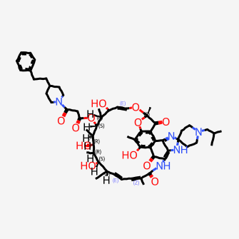 C/C1=C/C=C/[C@H](C)[C@H](O)[C@@H](C)[C@@H](O)[C@@H](C)[C@H](OC(=O)CC(=O)N2CCC(CCc3ccccc3)CC2)[C@H](C)C(O)/C=C/O[C@@]2(C)Oc3c(C)c(O)c4c(c3C2=O)C2=NC3(CCN(CC(C)C)CC3)NC2=C(NC1=O)C4=O